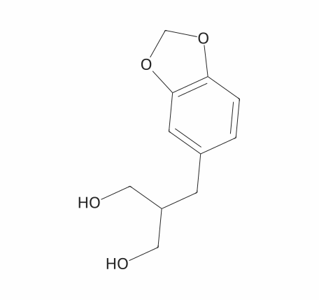 OCC(CO)Cc1ccc2c(c1)OCO2